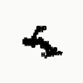 CCCN(CCC)C(=O)C1=Cc2ccc(C(=O)Nc3cncc(CNC(=O)C(Cc4ccccc4)NC(=O)CCCCCNC=O)c3)cc2N=C(N)C1